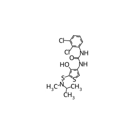 CC(C)N(C)Sc1scc(NC(=O)Nc2cccc(Cl)c2Cl)c1O